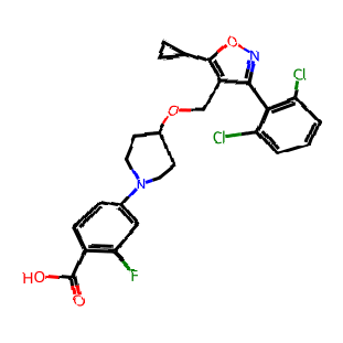 O=C(O)c1ccc(N2CCC(OCc3c(-c4c(Cl)cccc4Cl)noc3C3CC3)CC2)cc1F